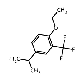 [CH2]C(C)c1ccc(OCC)c(C(F)(F)F)c1